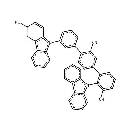 N#Cc1cc(-c2cccc(C#N)c2-n2c3ccccc3c3ccccc32)ccc1-c1cccc(-n2c3c(c4ccccc42)CC(C#N)C=C3)c1